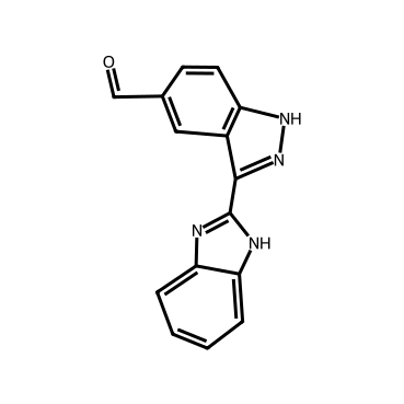 O=Cc1ccc2[nH]nc(-c3nc4ccccc4[nH]3)c2c1